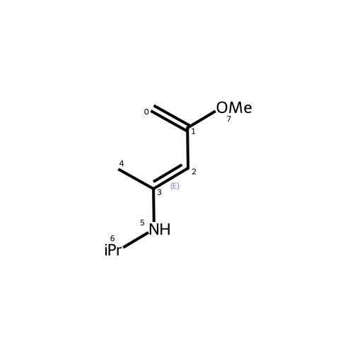 C=C(/C=C(\C)NC(C)C)OC